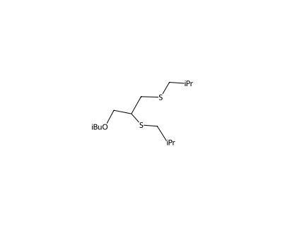 CC(C)COCC(CSCC(C)C)SCC(C)C